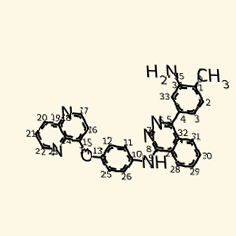 Cc1ccc(-c2nnc(Nc3ccc(Oc4ccnc5cccnc45)cc3)c3ccccc23)cc1N